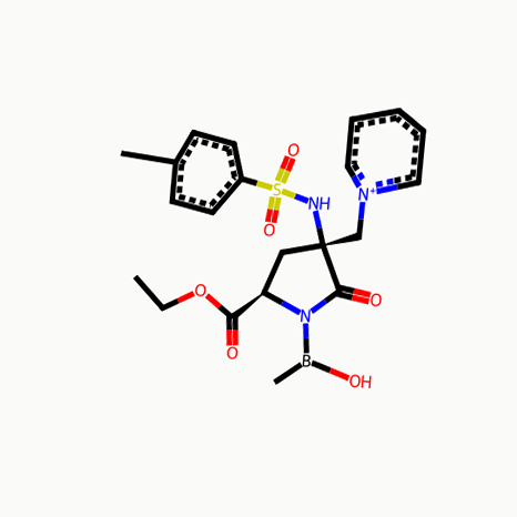 CCOC(=O)[C@H]1C[C@](C[n+]2ccccc2)(NS(=O)(=O)c2ccc(C)cc2)C(=O)N1B(C)O